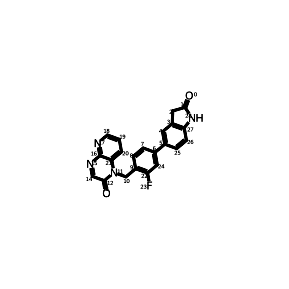 O=C1Cc2cc(-c3ccc(Cn4c(=O)cnc5ncccc54)c(F)c3)ccc2N1